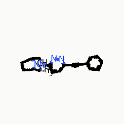 C[N+]1(C)C2CCC1CN(c1ccc(C#Cc3ccccc3)nn1)C2